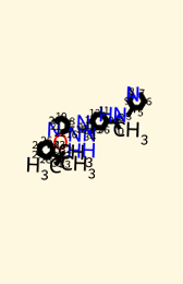 CC(NCc1cccnc1)c1ccc2nc(Nc3cccnc3Oc3ccccc3C(C)(C)C)[nH]c2c1